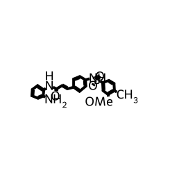 COc1cc(S(=O)(=O)Nc2ccc(/C=C/C(=O)Nc3ccccc3N)cc2)ccc1C